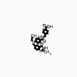 C#CCN(Cc1ccc2nc(C)[nH]c(=O)c2c1)c1ccc(C(=O)NCc2ccc(C(=O)O)cc2)cc1